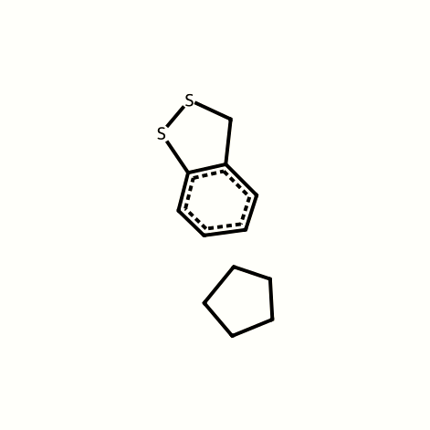 C1CCCC1.c1ccc2c(c1)CSS2